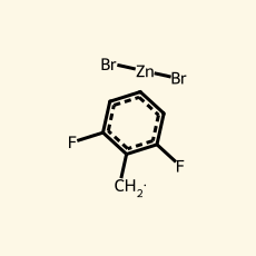 [Br][Zn][Br].[CH2]c1c(F)cccc1F